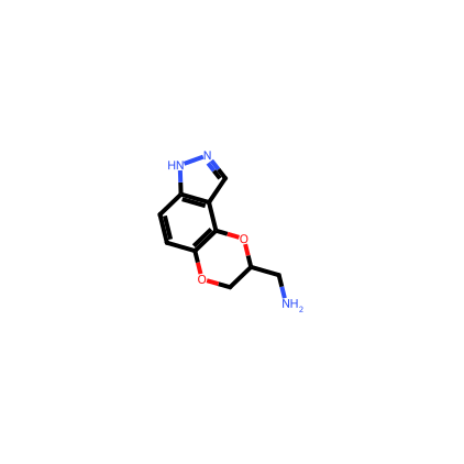 NCC1COc2ccc3[nH]ncc3c2O1